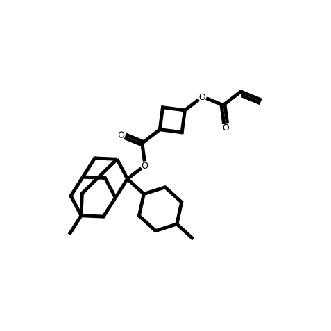 C=CC(=O)OC1CC(C(=O)OC2(C3CCC(C)CC3)C3CC4CC2CC(C)(C4)C3)C1